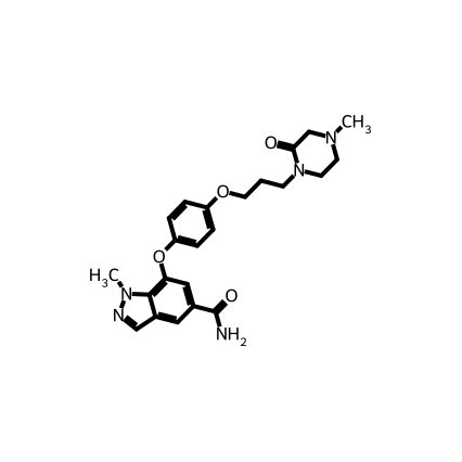 CN1CCN(CCCOc2ccc(Oc3cc(C(N)=O)cc4cnn(C)c34)cc2)C(=O)C1